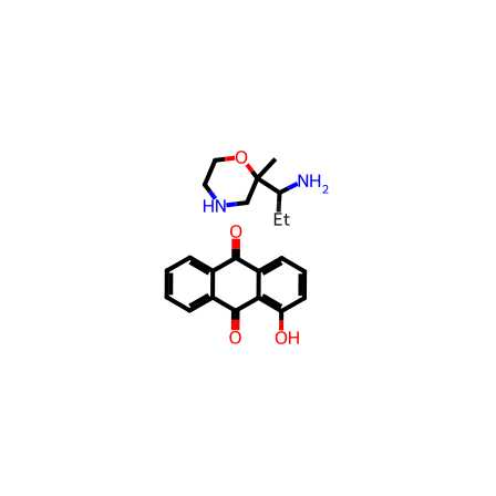 CCC(N)C1(C)CNCCO1.O=C1c2ccccc2C(=O)c2c(O)cccc21